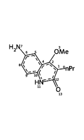 CCCc1c(OC)c2cc(N)ccc2[nH]c1=O